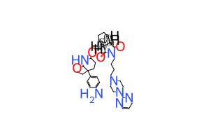 CCC1(c2ccc(N)cc2)CCC(=O)NC1=O.O=C1[C@@H]2[C@H]3CC[C@H](C3)[C@@H]2C(=O)N1CCCCN1CCN(c2ncccn2)CC1